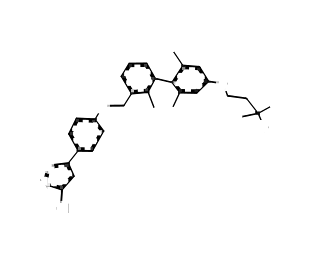 Cc1cc(OCCC(C)(C)O)cc(C)c1-c1cccc(COc2ccc(-c3cc(O)no3)cc2)c1C